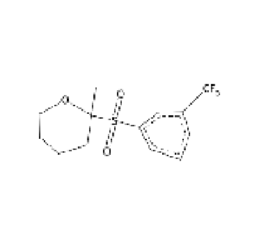 CC1(S(=O)(=O)c2cccc(C(F)(F)F)c2)CCCCO1